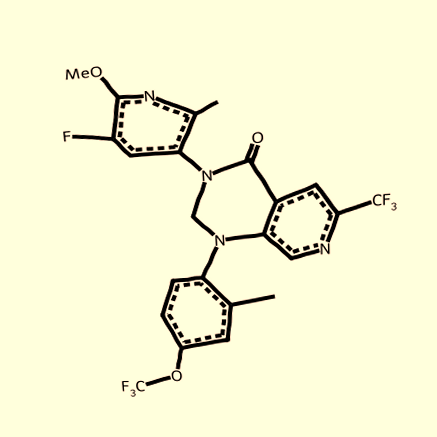 COc1nc(C)c(N2CN(c3ccc(OC(F)(F)F)cc3C)c3cnc(C(F)(F)F)cc3C2=O)cc1F